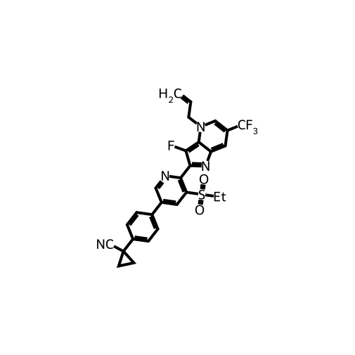 C=CCn1cc(C(F)(F)F)cc2nc(-c3ncc(-c4ccc(C5(C#N)CC5)cc4)cc3S(=O)(=O)CC)c(F)c1-2